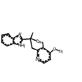 CCOc1ccnc(CC(C)(O)c2nc3ccccc3[nH]2)c1C